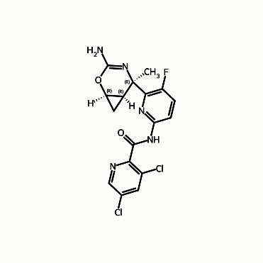 C[C@@]1(c2nc(NC(=O)c3ncc(Cl)cc3Cl)ccc2F)N=C(N)O[C@@H]2C[C@@H]21